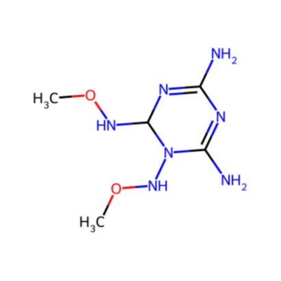 CONC1N=C(N)N=C(N)N1NOC